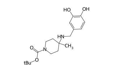 CC1(NCc2ccc(O)c(O)c2)CCN(C(=O)OC(C)(C)C)CC1